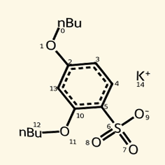 CCCCOc1ccc(S(=O)(=O)[O-])c(OCCCC)c1.[K+]